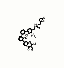 COc1nc(-c2cccc(-c3cccc(-c4ccn5c(=O)c(C=O)c(Cl)nc5c4)c3Cl)c2Cl)ccc1COC(=O)NCC1CCC(=O)N1